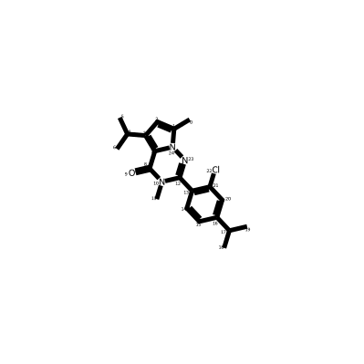 Cc1cc(C(C)C)c2c(=O)n(C)c(-c3ccc(C(C)C)cc3Cl)nn12